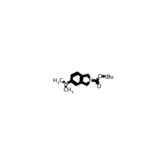 CN(C)c1ccc2c(c1)CN(C(=O)OC(C)(C)C)C2